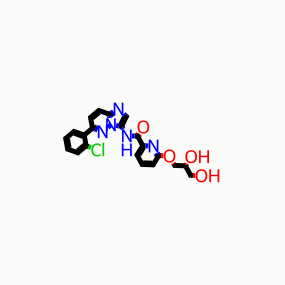 O=C(Nc1cnc2ccc(-c3ccccc3Cl)nn12)c1cccc(OCC(O)CO)n1